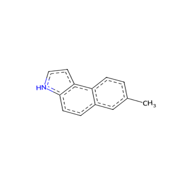 Cc1ccc2c(ccc3[nH]ccc32)c1